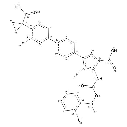 C[C@@H](OC(=O)Nc1c(F)c(-c2ccc(-c3ccc(C4(C(=O)O)CC4)c(F)c3)cc2)nn1C(=O)O)c1ccccc1Cl